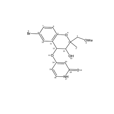 COCC1(C)Oc2ccc(Br)cc2C(Oc2cc[nH]c(=O)c2)C1O